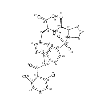 O=C(Nc1ccc(C[C@H](NC(=O)[C@H]2CSCN2S(=O)(=O)c2ccccc2)C(=O)O)cc1)c1c(Cl)cccc1Cl